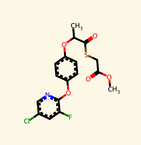 COC(=O)CSC(=O)C(C)Oc1ccc(Oc2ncc(Cl)cc2F)cc1